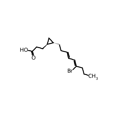 CCC/C(Br)=C/C=C/CC[C@H]1C[C@@H]1CCC(=O)O